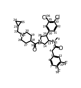 CN(C(=O)Cc1ccc(F)c(F)c1)C1CN(C(=O)C2CCN(CC3CC3)CC2)CC1c1ccc(Cl)c(Cl)c1